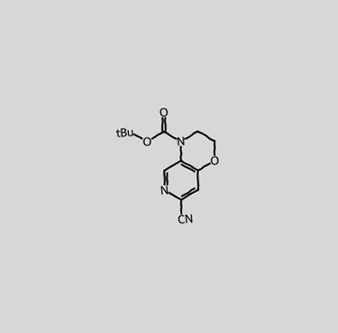 CC(C)(C)OC(=O)N1CCOc2cc(C#N)ncc21